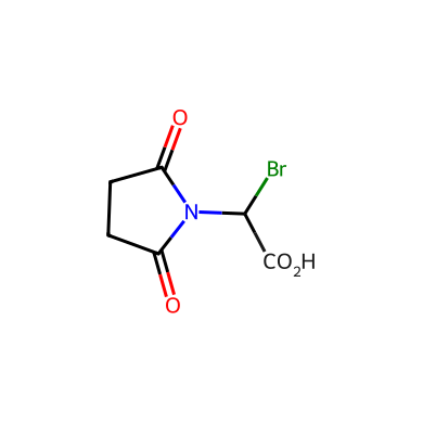 O=C(O)C(Br)N1C(=O)CCC1=O